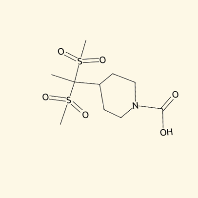 CC(C1CCN(C(=O)O)CC1)(S(C)(=O)=O)S(C)(=O)=O